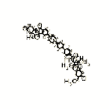 CCc1ccc(O[C@H]2C(C)(C)[C@H](NC(=O)c3ccc(C4CCC(N5CCN(c6ccc7c(c6)C(=O)N(C6CCC(=O)NC6=O)C7=O)CC5)CC4)cc3)C2(C)C)cc1Cl